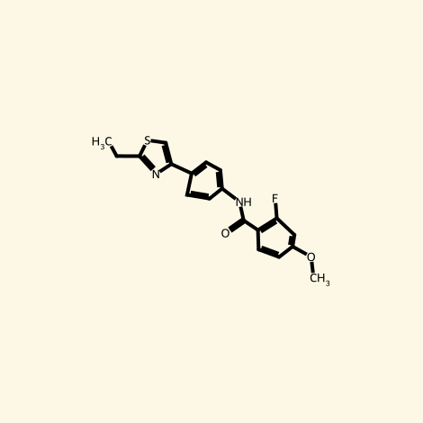 CCc1nc(-c2ccc(NC(=O)c3ccc(OC)cc3F)cc2)cs1